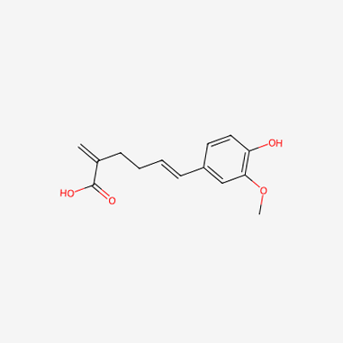 C=C(CCC=Cc1ccc(O)c(OC)c1)C(=O)O